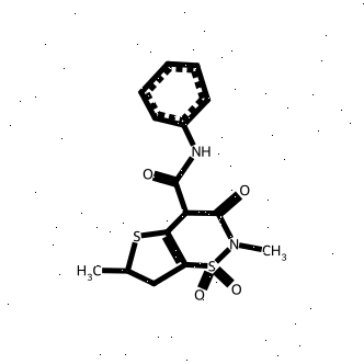 CC1CC2=C(S1)C(C(=O)Nc1ccccc1)C(=O)N(C)S2(=O)=O